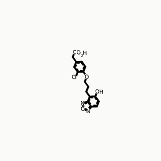 O=C(O)Cc1ccc(OCCCc2c(O)ccc3nonc23)c(Cl)c1